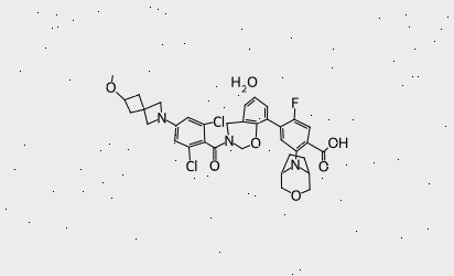 COC1CC2(C1)CN(c1cc(Cl)c(C(=O)N3COc4c(cccc4-c4cc(N5C6CCC5COC6)c(C(=O)O)cc4F)C3)c(Cl)c1)C2.O